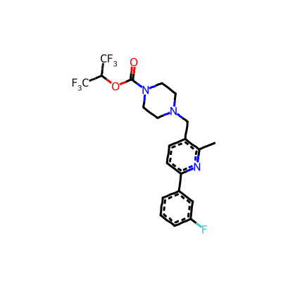 Cc1nc(-c2cccc(F)c2)ccc1CN1CCN(C(=O)OC(C(F)(F)F)C(F)(F)F)CC1